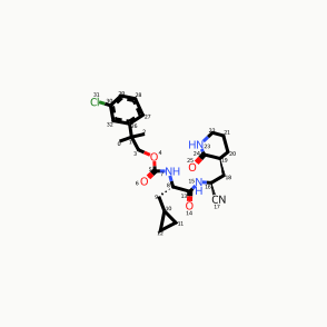 CC(C)(COC(=O)N[C@@H](CC1CC1)C(=O)N[C@H](C#N)C[C@@H]1CCCNC1=O)c1cccc(Cl)c1